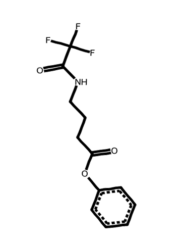 O=C(CCCNC(=O)C(F)(F)F)Oc1ccccc1